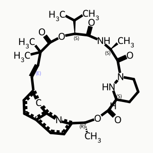 CC(C)[C@@H]1OC(=O)C(C)(C)/C=C/c2ccc3ccc(nc3c2)[C@@H](C)OC(=O)[C@@H]2CCCN(N2)C(=O)[C@H](C)NC1=O